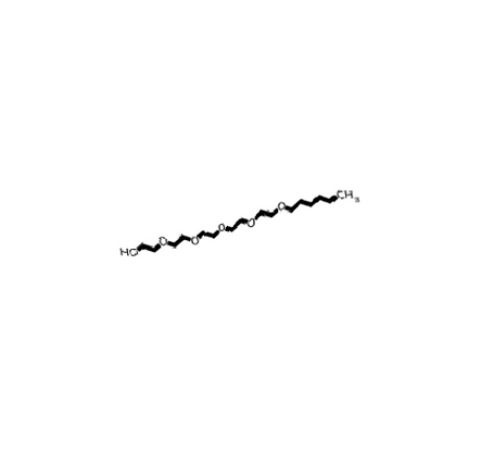 CCCCCCOCCOCCOCCOCCOCCO